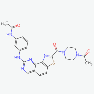 CC(=O)Nc1cccc(Nc2ncc3ccc4sc(C(=O)N5CCN(C(C)=O)CC5)nc4c3n2)c1